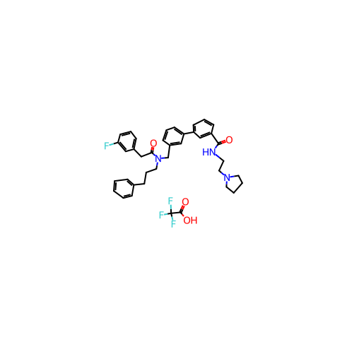 O=C(NCCN1CCCC1)c1cccc(-c2cccc(CN(CCCc3ccccc3)C(=O)Cc3cccc(F)c3)c2)c1.O=C(O)C(F)(F)F